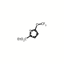 CCOC(=O)c1ccc(OC(F)(F)F)s1